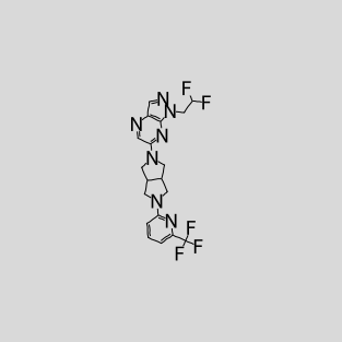 FC(F)Cn1ncc2ncc(N3CC4CN(c5cccc(C(F)(F)F)n5)CC4C3)nc21